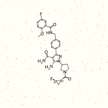 COc1ccc(F)cc1C(=O)NCc1ccc(-c2nn(C3CCN(C(=O)[C@H]4C[C@H]4F)C3)c(N)c2C(N)=O)cc1